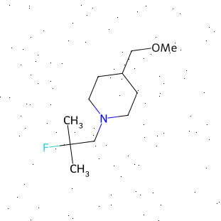 COCC1CCN(CC(C)(C)F)CC1